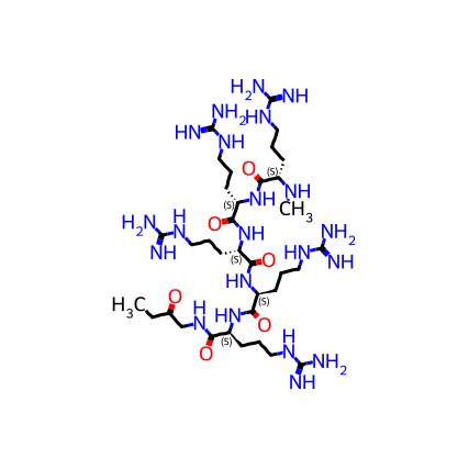 CCC(=O)CNC(=O)[C@H](CCCNC(=N)N)NC(=O)[C@H](CCCNC(=N)N)NC(=O)[C@H](CCCNC(=N)N)NC(=O)[C@H](CCCNC(=N)N)NC(=O)[C@H](CCCNC(=N)N)NC